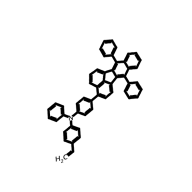 C=Cc1ccc(N(c2ccccc2)c2ccc(-c3ccc4c5c(cccc35)-c3c-4c(-c4ccccc4)c4ccccc4c3-c3ccccc3)cc2)cc1